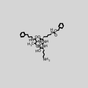 CC(C)[C@H](NC(=O)[C@@H](CCCCNC(=O)OCc1ccccc1)NC(=O)N[C@@H](CCCCN)C(=O)O)C(=O)NCCCc1ccccc1